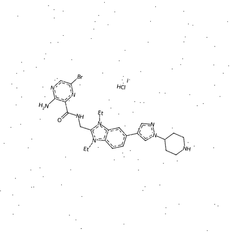 CCn1c(CNC(=O)c2nc(Br)cnc2N)[n+](CC)c2ccc(-c3cnn(C4CCNCC4)c3)cc21.Cl.[I-]